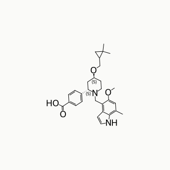 COc1cc(C)c2[nH]ccc2c1CN1CC[C@H](OCC2CC2(C)C)C[C@H]1c1ccc(C(=O)O)cc1